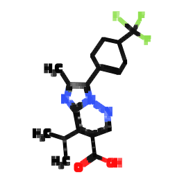 Cc1nc2c(C(C)C)c(C(=O)O)cnn2c1C1=CCC(C(F)(F)F)CC1